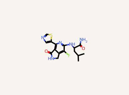 CC(C)CC(Nc1nc(-c2cncs2)c2c(c1F)CNC2=O)C(N)=O